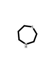 [CH]1CCNCCS1